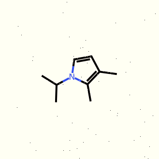 Cc1ccn(C(C)C)c1C